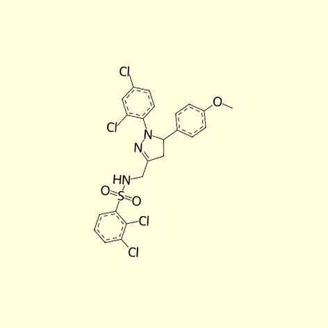 COc1ccc(C2CC(CNS(=O)(=O)c3cccc(Cl)c3Cl)=NN2c2ccc(Cl)cc2Cl)cc1